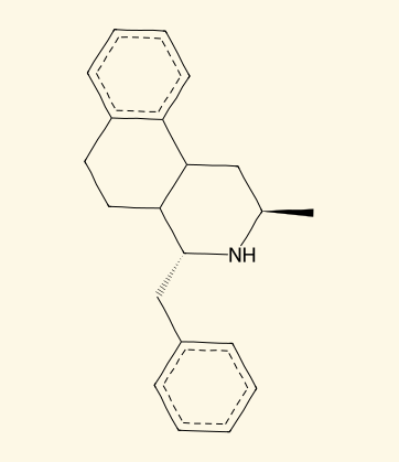 C[C@@H]1CC2c3ccccc3CCC2[C@@H](Cc2ccccc2)N1